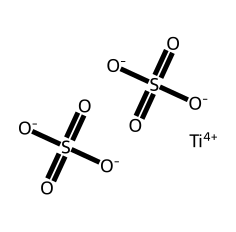 O=S(=O)([O-])[O-].O=S(=O)([O-])[O-].[Ti+4]